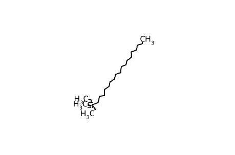 CCCCCCCCCCCCCCCCCC[Si](CC)(CC)CC